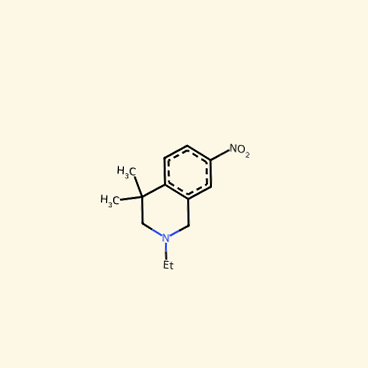 CCN1Cc2cc([N+](=O)[O-])ccc2C(C)(C)C1